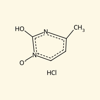 Cc1cc[n+]([O-])c(O)n1.Cl